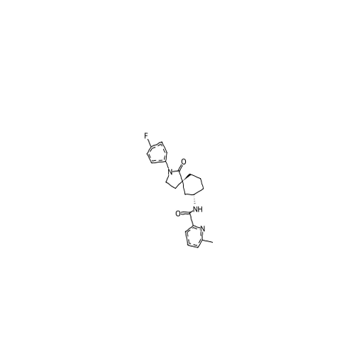 Cc1cccc(C(=O)N[C@H]2CCC[C@]3(CCN(c4ccc(F)cc4)C3=O)C2)n1